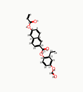 C=CC(=O)Oc1ccc2cc(C(=O)Oc3ccc(OC=O)cc3CC)ccc2c1